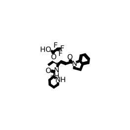 CC[C@@H](C=CC(=O)N1CCc2ccccc21)NC(=O)[C@@H]1CCCCN1.O=C(O)C(F)(F)F